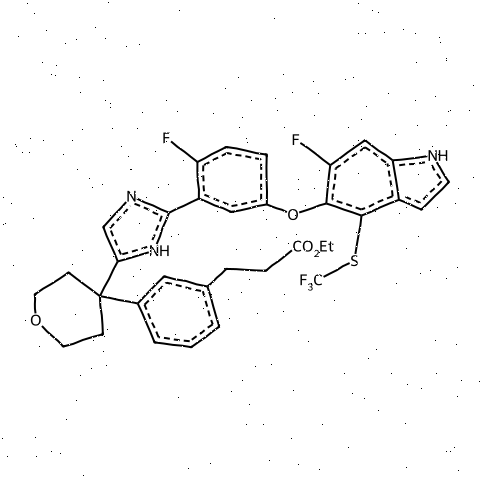 CCOC(=O)CCc1cccc(C2(c3cnc(-c4cc(Oc5c(F)cc6[nH]ccc6c5SC(F)(F)F)ccc4F)[nH]3)CCOCC2)c1